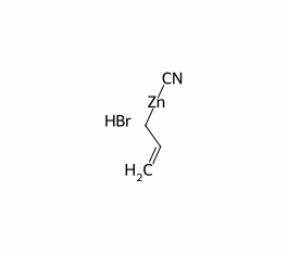 Br.C=C[CH2][Zn][C]#N